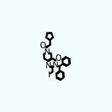 O=C(CC1CCCC1)N1CCc2nc(CI)n(C(c3ccccc3)c3ccccc3)c(=O)c2C1